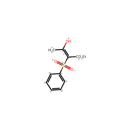 CCOC(=O)/C(=C(/C)O)S(=O)(=O)c1ccccc1